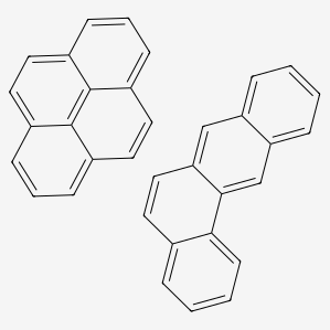 c1cc2ccc3cccc4ccc(c1)c2c34.c1ccc2cc3c(ccc4ccccc43)cc2c1